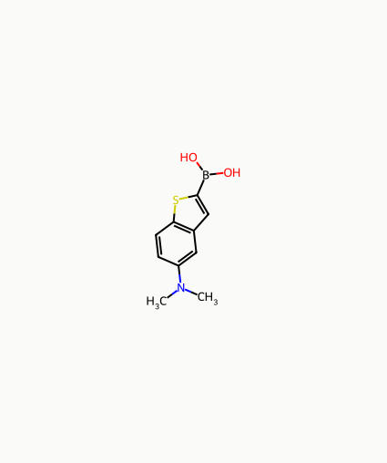 CN(C)c1ccc2sc(B(O)O)cc2c1